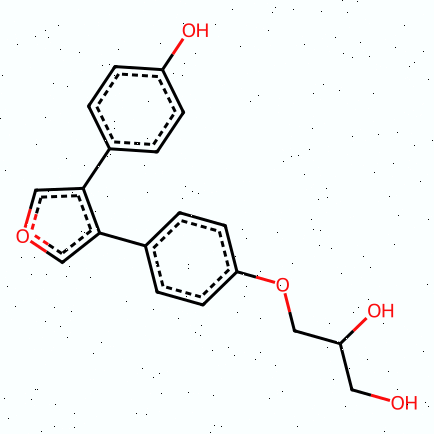 OCC(O)COc1ccc(-c2cocc2-c2ccc(O)cc2)cc1